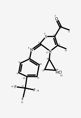 CC(=O)c1sc(=Nc2ccc(C(F)(F)F)cc2)n(C2CC2)c1C.Cl